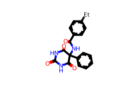 CCc1ccc(C(=O)NC2(c3ccccc3)C(=O)NC(=O)NC2=O)cc1